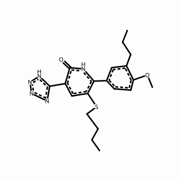 CCCCSc1cc(-c2nnn[nH]2)c(=O)[nH]c1-c1ccc(OC)c(CCC)c1